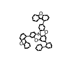 c1ccc(-c2ccccc2-c2cc3c4c(c2)Oc2cc(-c5cccc6oc7ccccc7c56)ccc2N4c2ccc(-c4cccc5oc6ccccc6c45)cc2O3)cc1